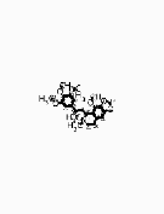 COc1cc(C(=O)CC2c3c(cc4c(c3OC)OCO4)CC[N+]2(C)C)cc(OC)c1OC